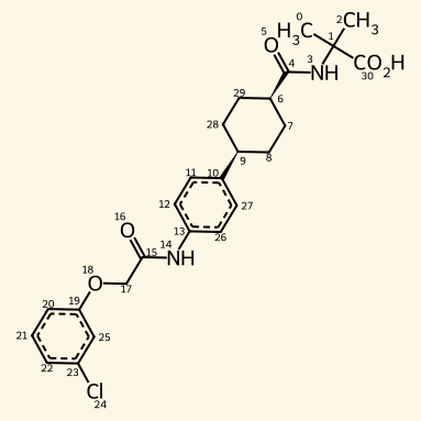 CC(C)(NC(=O)[C@H]1CC[C@@H](c2ccc(NC(=O)COc3cccc(Cl)c3)cc2)CC1)C(=O)O